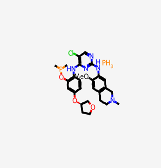 COc1cc2c(cc1Nc1ncc(Cl)c(Nc3ccc(O[C@@H]4CCOC4)cc3OP(C)C)n1)CN(C)CC2.P